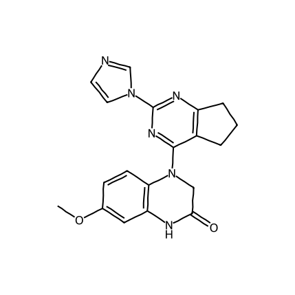 COc1ccc2c(c1)NC(=O)CN2c1nc(-n2ccnc2)nc2c1CCC2